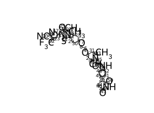 C[C@@H]1CC(OCCO[C@H]2CC[C@H](N3C(=S)N(c4cnc(C#N)c(C(F)(F)F)c4)C(=O)C3(C)C)CC2)C[C@H](C)N1CC(=O)Nc1ccc(C2CCC(=O)NC2=O)cc1